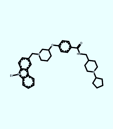 CCn1c2ccccc2c2cc(CN3CCCC(Oc4ccc(C(=O)NCC5CCN(C6CCCC6)CC5)cc4)C3)ccc21